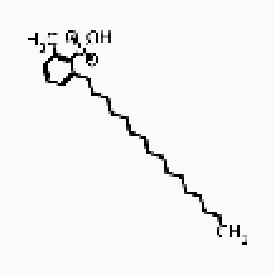 CCCCCCCCCCCCCCCCc1cccc(C)c1S(=O)(=O)O